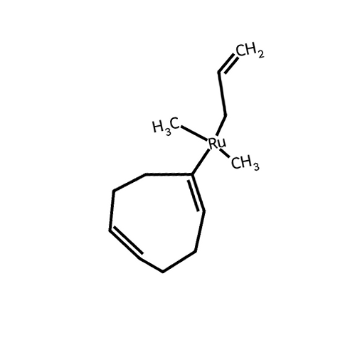 C=C[CH2][Ru]([CH3])([CH3])[C]1=CCCC=CCC1